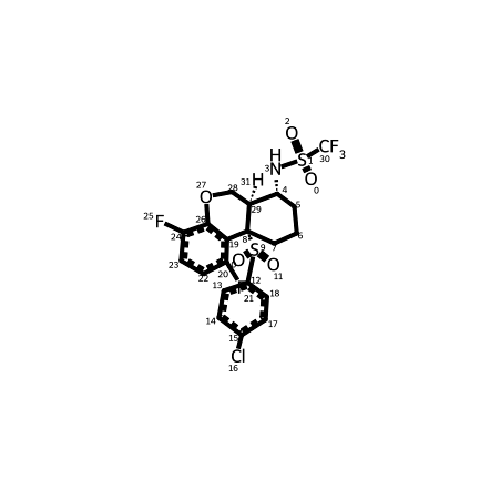 O=S(=O)(N[C@@H]1CCC[C@@]2(S(=O)(=O)c3ccc(Cl)cc3)c3c(F)ccc(F)c3OC[C@@H]12)C(F)(F)F